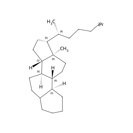 CC(C)CCC[C@@H](C)[C@H]1CC[C@H]2[C@@H]3CCC4CCCC[C@@H]4[C@H]3CC[C@]12C